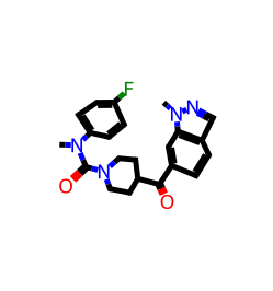 CN(C(=O)N1CCC(C(=O)c2ccc3cnn(C)c3c2)CC1)c1ccc(F)cc1